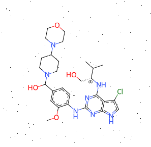 COc1cc(C(O)N2CCC(N3CCOCC3)CC2)ccc1Nc1nc(N[C@H](CO)C(C)C)c2c(Cl)c[nH]c2n1